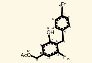 CCc1ccc(Cc2c(O)cc(COC(C)=O)cc2F)cc1